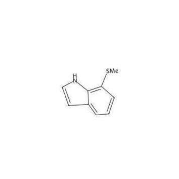 CSc1cccc2[c]c[nH]c12